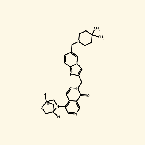 CC1(C)CCN(Cc2ccc3nc(Cn4ccc5c(N6C[C@@H]7C[C@H]6CO7)cncc5c4=O)cn3c2)CC1